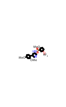 COc1ccc(-c2cncc(NS(=O)(=O)c3cc(OC(F)(F)F)ccc3OC)c2)c(OC)c1